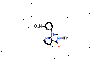 CC(C)N1CN(c2cccc([N+](=O)[O-])c2)c2ncccc2C1=O